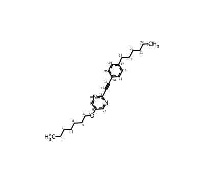 CCCCCCCOc1cnc(C#Cc2ccc(CCCCCC)cc2)nc1